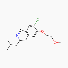 COCCOc1cc2c(cc1Cl)C=NC(CC(C)C)C2